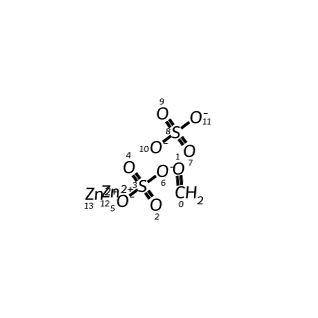 C=O.O=S(=O)([O-])[O-].O=S(=O)([O-])[O-].[Zn+2].[Zn+2]